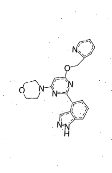 c1ccc(COc2cc(N3CCOCC3)nc(-c3cccc4[nH]ncc34)n2)nc1